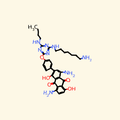 CCCCNc1nc(NCCCCCCCN)nc(Oc2ccc(-c3cc(N)c4c(c3O)C(=O)c3c(N)ccc(O)c3C4=O)cc2)n1